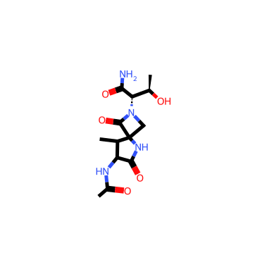 CC(=O)NC1C(=O)NC2(CN([C@H](C(N)=O)[C@@H](C)O)C2=O)C1C